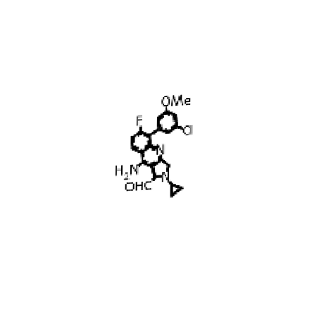 COc1cc(Cl)cc(-c2c(F)ccc3c(N)c4c(nc23)CN(C2CC2)C4C=O)c1